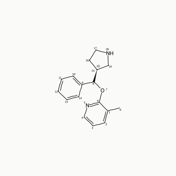 Cc1cccnc1OC(c1ccccc1)[C@H]1CCNC1